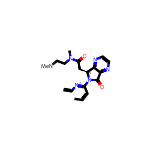 C=C/N=C(\C=C/C)N1C(=O)c2nccnc2[C@@H]1CC(=O)N(C)CCNC